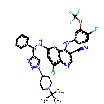 CC(C)(C)N1CCC(n2cc([C@@H](Nc3cc(Cl)c4ncc(C#N)c(Nc5ccc(F)c(OC(F)(F)F)c5)c4c3)c3ccccc3)nn2)CC1